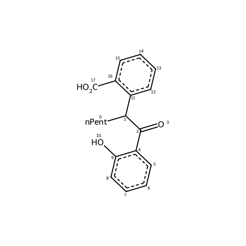 CCCCCC(C(=O)c1ccccc1O)c1ccccc1C(=O)O